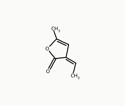 C/C=C1/C=C(C)OC1=O